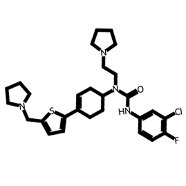 O=C(Nc1ccc(F)c(Cl)c1)N(CCN1CCCC1)C1CC=C(c2ccc(CN3CCCC3)s2)CC1